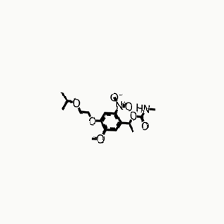 CNC(=O)OC(C)c1cc(OC)c(OCCOC(C)C)cc1[N+](=O)[O-]